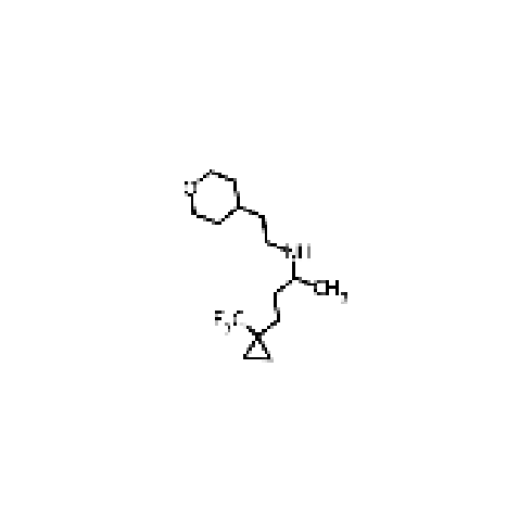 CC(CCC1(C(F)(F)F)CC1)NCCC1CCOCC1